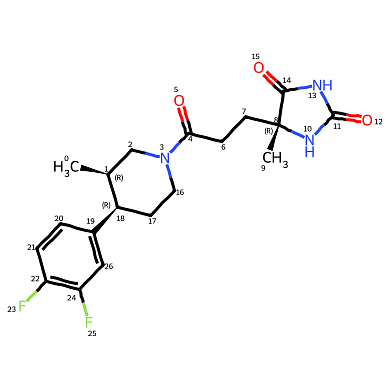 C[C@H]1CN(C(=O)CC[C@@]2(C)NC(=O)NC2=O)CC[C@H]1c1ccc(F)c(F)c1